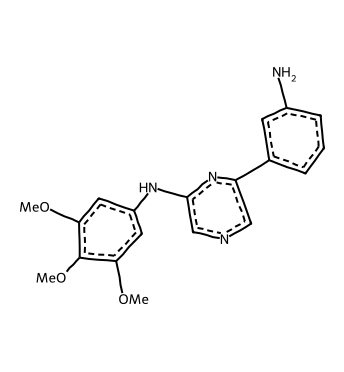 COc1cc(Nc2cncc(-c3cccc(N)c3)n2)cc(OC)c1OC